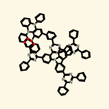 c1ccc(-c2nc(-c3ccccc3)nc(-c3ccc(-n4c5ccc(-c6nc(-c7ccccc7)nc(-c7ccccc7)n6)cc5c5cc(-c6nc(-c7ccccc7)nc(-c7ccccc7)n6)ccc54)c(-c4nc(-c5ccccc5)nc(-c5cccc(-c6cc7c8c(c6)N(c6ccccc6)c6ccccc6B8c6ccccc6N7c6ccccc6)c5)n4)c3)n2)cc1